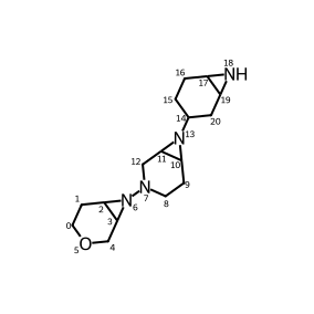 C1CC2C(CO1)N2N1CCC2C(C1)N2C1CCC2NC2C1